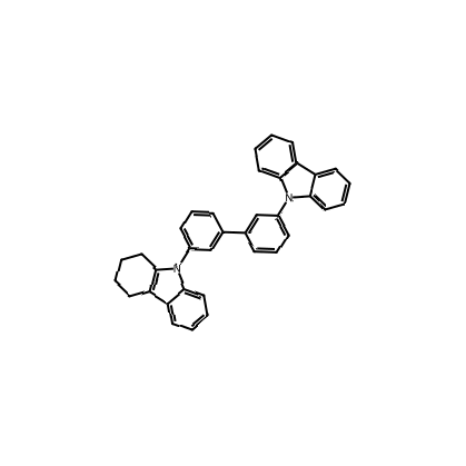 c1cc(-c2cccc(-n3c4ccccc4c4ccccc43)c2)cc(-n2c3c(c4ccccc42)CCCC3)c1